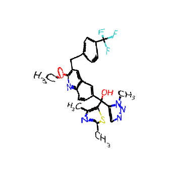 COc1nc2ccc(C(O)(c3sc(C)nc3C)c3cnnn3C)cc2cc1Cc1ccc(C(F)(F)F)cc1